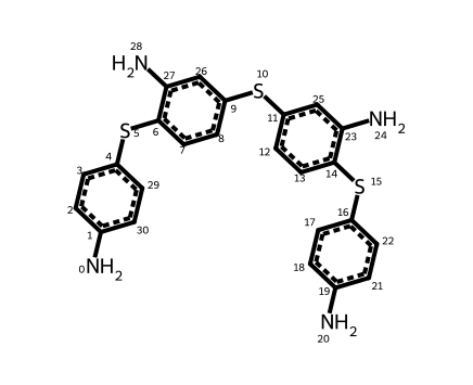 Nc1ccc(Sc2ccc(Sc3ccc(Sc4ccc(N)cc4)c(N)c3)cc2N)cc1